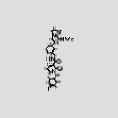 CNc1nc(-c2cccc(CNC(=O)c3cccn(Cc4ccc(F)c(F)c4)c3=O)c2)cn2ccnc12